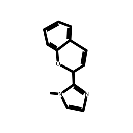 Cn1ccnc1C1C=Cc2ccccc2O1